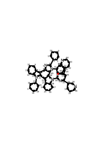 c1ccc(-c2nc3c4c5ccccc5n(-c5ccccc5)c4c4c5ccccc5n(-c5nc(-c6cccnc6)cc(-c6cccnc6)n5)c4c3n2-c2ccccc2)cc1